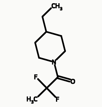 CCC1CCN(C(=O)C(C)(F)F)CC1